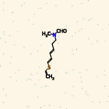 C=CS/C=C/C=C/CCN(C)C=O